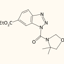 CCOC(=O)c1ccc2nnn(C(=O)N3COCC3(C)C)c2c1